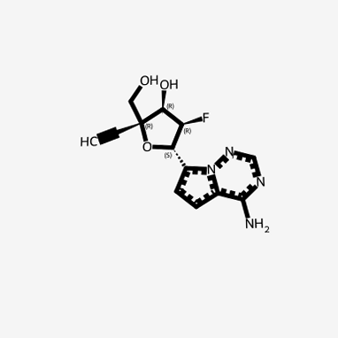 C#C[C@]1(CO)O[C@@H](c2ccc3c(N)ncnn23)[C@H](F)[C@@H]1O